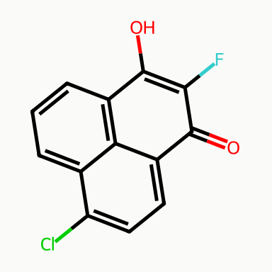 O=C1C(F)=C(O)c2cccc3c(Cl)ccc1c23